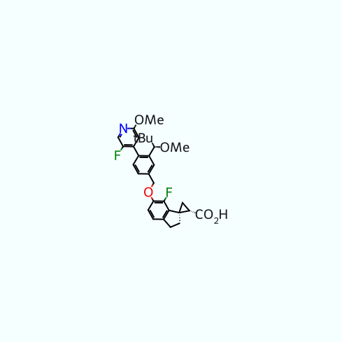 COc1cc(-c2ccc(COc3ccc4c(c3F)[C@@]3(CC4)C[C@@H]3C(=O)O)cc2[C@H](OC)C(C)(C)C)c(F)cn1